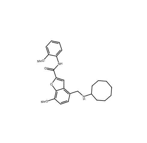 COc1ccccc1NC(=O)c1cc2c(CNC3CCCCCCC3)ccc(OC)c2o1